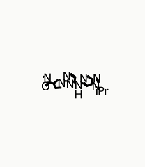 CC(C)n1cnc2cnc(Nc3ccnc(N4CCC(C(=O)N(C)C)C4)n3)cc21